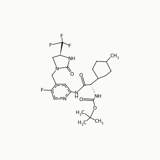 CC1CCC([C@H](NC(=O)OC(C)(C)C)C(=O)Nc2cc(CN3C[C@@H](C(F)(F)F)NC3=O)c(F)cn2)CC1